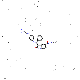 CC(=O)N(CCN(C)C)c1ccc(N/C(=C2\C(=O)Nc3ccc(C(=O)NCCC(C)C)cc32)c2ccccc2)cc1